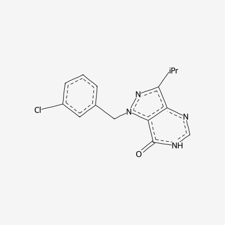 CC(C)c1nn(Cc2cccc(Cl)c2)c2c(=O)[nH]cnc12